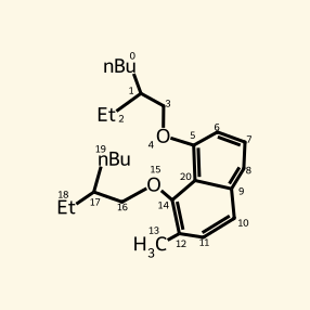 CCCCC(CC)COc1cccc2ccc(C)c(OCC(CC)CCCC)c12